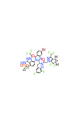 O=C(Cn1nc(C(F)F)c2c1C(F)(F)[C@@H]1C[C@H]21)N[C@@H](Cc1cc(F)cc(F)c1)c1nc2cc(Br)ccc2c(=O)n1-c1ccc(Cl)c2c(NS(=O)(=O)C3CC3)nn(CC(F)F)c12